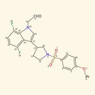 CC(C)Oc1ccc(S(=O)(=O)N2CCC(c3cn(CC=O)c4c(F)ccc(F)c34)C2)cc1